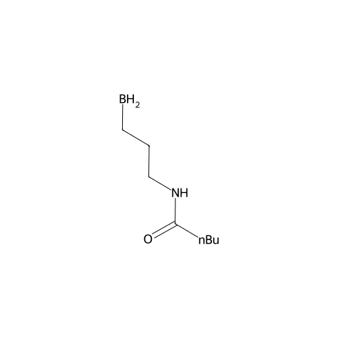 BCCCNC(=O)CCCC